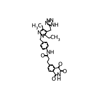 CCc1nn(Cc2ccc(NC(=O)CCc3ccc4c(c3)C(=O)C(=O)NC4=O)cc2)c(CC)c1Cc1nnn[nH]1